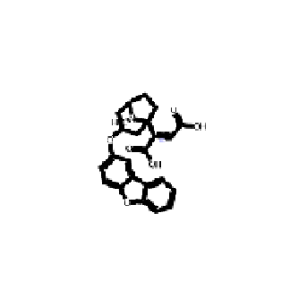 CN1C2CCC1(/C(=C\C(=O)O)C(=O)O)CC(Oc1ccc3oc4ccccc4c3c1)C2